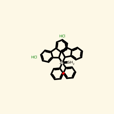 CC1=C[CH]([Zr](=[SiH2])([c]2ccccc2)([c]2ccccc2)[CH]2c3ccccc3-c3ccccc32)c2ccccc21.Cl.Cl